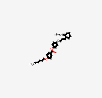 C=CCCCCOc1ccc(C(=O)Oc2ccc(OCCCC3CCCCC3CCCCCCC)cc2)cc1